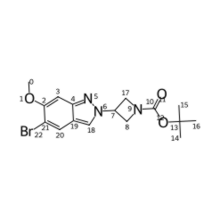 COc1cc2nn(C3CN(C(=O)OC(C)(C)C)C3)cc2cc1Br